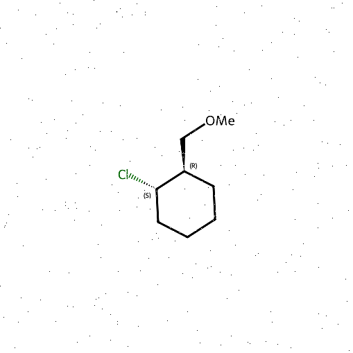 COC[C@H]1CCCC[C@@H]1Cl